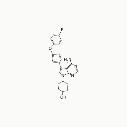 Nc1ncnc2c1c(-c1ccc(Oc3ccc(F)cc3)cc1)nn2[C@H]1CC[C@H](O)CC1